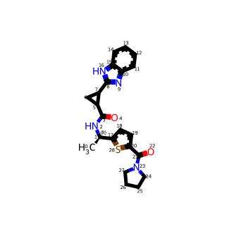 C[C@@H](NC(=O)C1CC1c1nc2ccccc2[nH]1)c1ccc(C(=O)N2CCCC2)s1